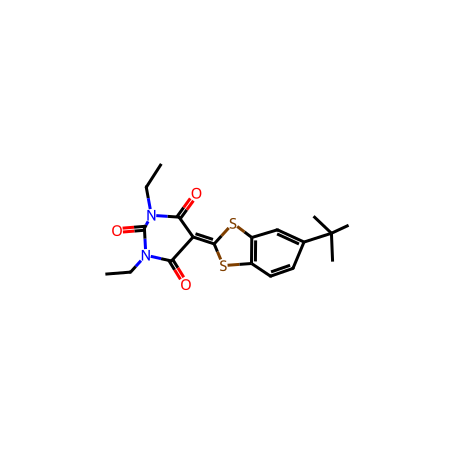 CCN1C(=O)C(=C2Sc3ccc(C(C)(C)C)cc3S2)C(=O)N(CC)C1=O